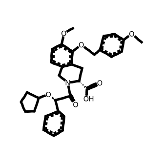 COc1ccc(COc2c(OC)ccc3c2C[C@H](C(=O)O)N(C(=O)[C@@H](OC2CCCC2)c2ccccc2)C3)cc1